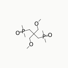 COCC(COC)(CP(C)(C)=O)CP(C)(C)=O